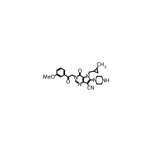 COc1cccc(C(=O)Cn2cnc3c(C#N)c(N4CCNCC4)n(CC4CC4C)c3c2=O)c1